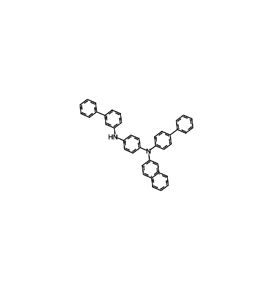 c1ccc(-c2ccc(N(c3ccc(Nc4cccc(-c5ccccc5)c4)cc3)c3ccc4ccccc4c3)cc2)cc1